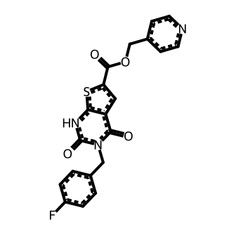 O=C(OCc1ccncc1)c1cc2c(=O)n(Cc3ccc(F)cc3)c(=O)[nH]c2s1